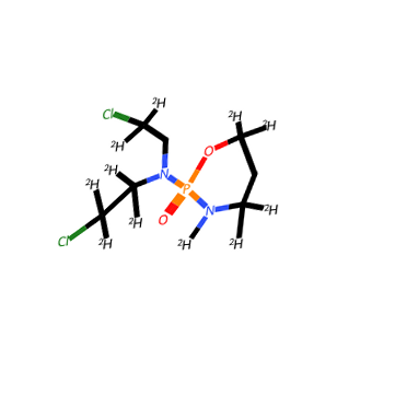 [2H]N1C([2H])([2H])CC([2H])([2H])OP1(=O)N(CC([2H])([2H])Cl)C([2H])([2H])C([2H])([2H])Cl